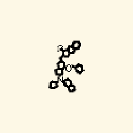 O=C1/C(=C/c2cc(OCc3ccccc3)c3cc(N(c4ccccc4)c4ccc5ccccc5c4)ccc3c2)Cc2cc3ccccc3cc21